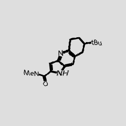 CNC(=O)c1cc2nc3c(cc2[nH]1)CC(C(C)(C)C)CC3